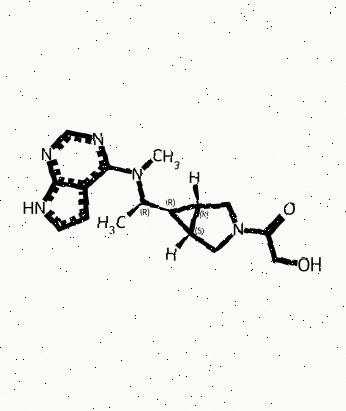 C[C@H]([C@H]1[C@@H]2CN(C(=O)CO)C[C@@H]21)N(C)c1ncnc2[nH]ccc12